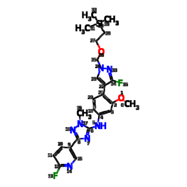 COc1cc(Nc2nc(-c3ccc(F)nc3)nn2C)ccc1-c1cn(COCC[Si](C)(C)C)nc1F